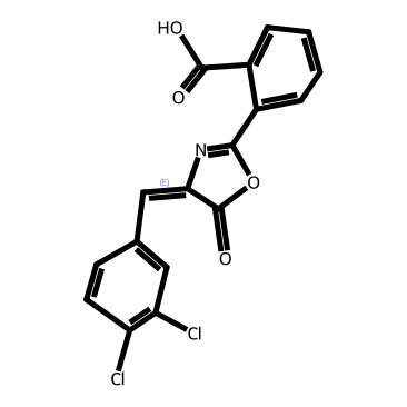 O=C1OC(c2ccccc2C(=O)O)=N/C1=C/c1ccc(Cl)c(Cl)c1